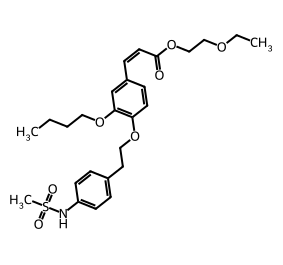 CCCCOc1cc(/C=C\C(=O)OCCOCC)ccc1OCCc1ccc(NS(C)(=O)=O)cc1